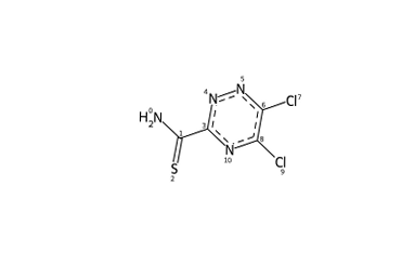 NC(=S)c1nnc(Cl)c(Cl)n1